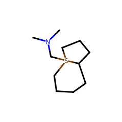 CN(C)CS12CCCCC1CCC2